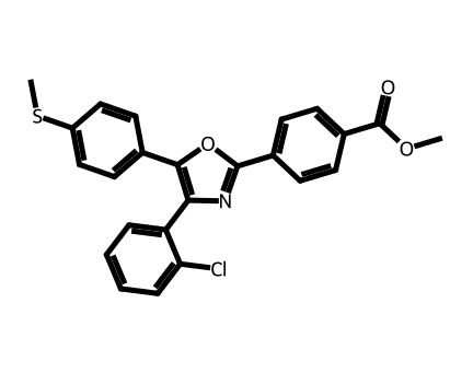 COC(=O)c1ccc(-c2nc(-c3ccccc3Cl)c(-c3ccc(SC)cc3)o2)cc1